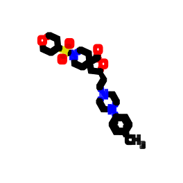 Cc1ccc(N2CCN(CC[C@H]3CC4(CCN(S(=O)(=O)C5CCOCC5)CC4)C(=O)O3)CC2)cc1